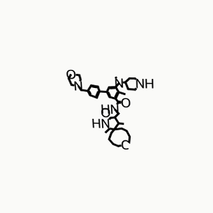 Cc1c(C(=O)NCC2C(=O)NC(C)C3(CCCCCCCCC3)C2C)cc(-c2ccc(CN3CCOCC3)cc2)cc1N(C)C1CCNCC1